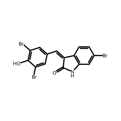 O=C1Nc2cc(Br)ccc2C1=Cc1cc(Br)c(O)c(Br)c1